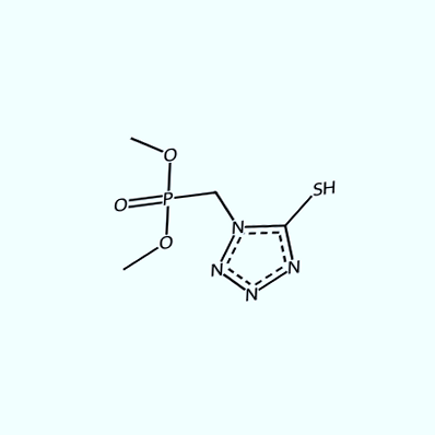 COP(=O)(Cn1nnnc1S)OC